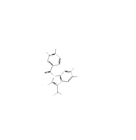 Cc1c(C(C)C(=O)O)c2cc(O)c(F)cc2n1C(=O)c1ccc(F)c(F)c1